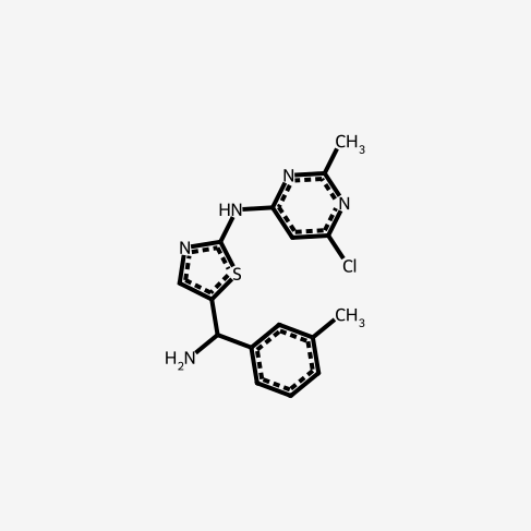 Cc1cccc(C(N)c2cnc(Nc3cc(Cl)nc(C)n3)s2)c1